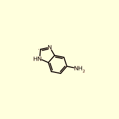 Nc1ccc2[nH][c]nc2c1